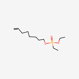 C=CCCCCCCOP(=O)(CC)OCC